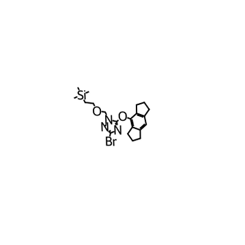 C[Si](C)(C)CCOCn1nc(Br)nc1Oc1c2c(cc3c1CCC3)CCC2